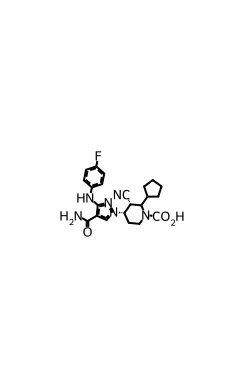 N#C[C@@H]1C(C2CCCC2)N(C(=O)O)CC[C@@H]1n1cc(C(N)=O)c(Nc2ccc(F)cc2)n1